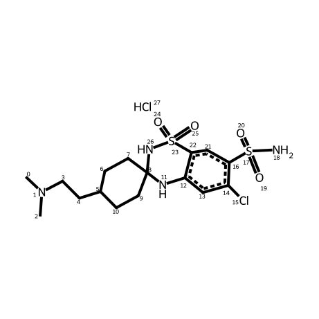 CN(C)CCC1CCC2(CC1)Nc1cc(Cl)c(S(N)(=O)=O)cc1S(=O)(=O)N2.Cl